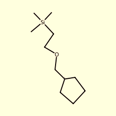 C[Si](C)(C)CCOC[C]1CCCC1